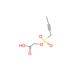 CC#CCS(=O)(=O)OCC(=O)O